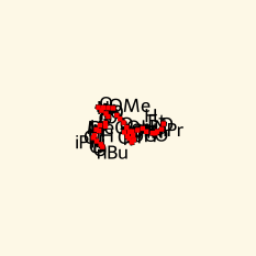 CCCCOC(C)CC(=O)NC(C(=O)N[C@@H](C)C(=O)Nc1ccc(COC(=O)N2CC3CC(C)=CN3C(=O)c3cc(OC)c(OCCCCCOc4cc5c(cc4OC)C(=O)N4C=C(C)C[C@H]4[C@H](O)N5C(=O)OCc4ccc(NC(=O)C(C)NC(=O)C(NC(=O)CC)C(C)C)cc4)cc32)cc1)C(C)C